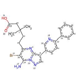 CC(C)(CCc1nc2c(-c3ccc(-c4ccccc4)nc3)cnn2c(N)c1Br)CC(=O)O